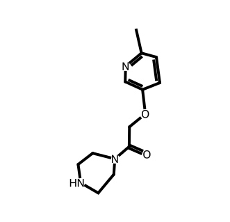 Cc1ccc(OCC(=O)N2CCNCC2)cn1